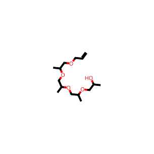 C=CCOCC(C)OCC(C)OCC(C)OCC(C)O